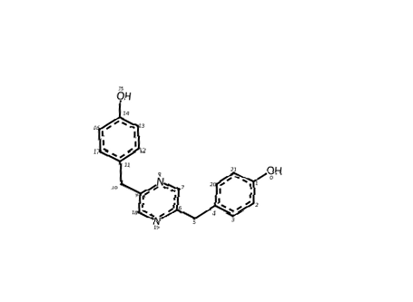 Oc1ccc(Cc2cnc(Cc3ccc(O)cc3)cn2)cc1